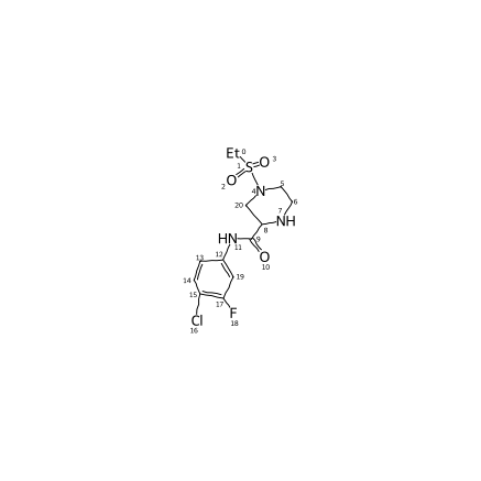 CCS(=O)(=O)N1CCNC(C(=O)Nc2ccc(Cl)c(F)c2)C1